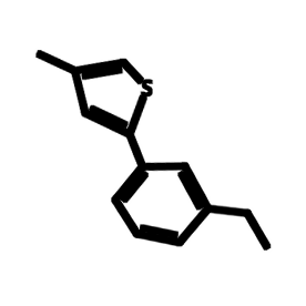 CCc1cccc(-c2cc(C)cs2)c1